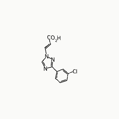 O=C(O)C=Cn1cnc(-c2cccc(Cl)c2)n1